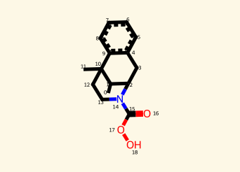 CC1C2Cc3ccccc3C1(C)CCN2C(=O)OO